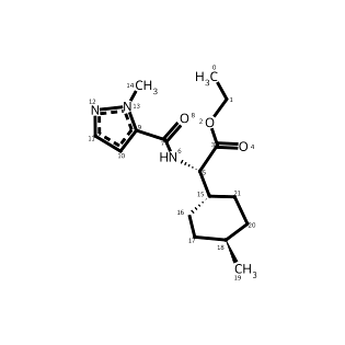 CCOC(=O)[C@@H](NC(=O)c1ccnn1C)[C@H]1CC[C@H](C)CC1